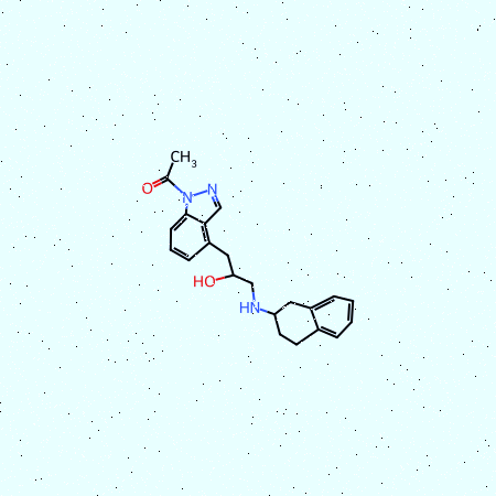 CC(=O)n1ncc2c(CC(O)CNC3CCc4ccccc4C3)cccc21